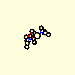 C=C1/C=C(N2c3ccccc3C3(C)CC4CCCCC4CC23C)\C=C/Cc2c(cc(N3c4ccccc4C4(C)CC5CCCCC5CC34C)c3ccccc23)C1(c1ccccc1)c1ccccc1